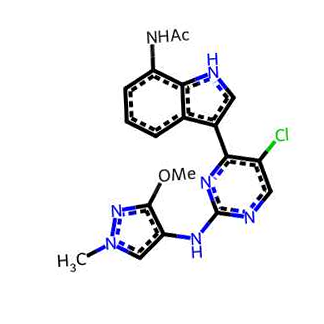 COc1nn(C)cc1Nc1ncc(Cl)c(-c2c[nH]c3c(NC(C)=O)cccc23)n1